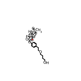 CS(=O)(=O)NS(=O)(=O)C(F)(F)C(F)(F)S(=O)(=O)Oc1ccc(CCOCCCCO)cc1